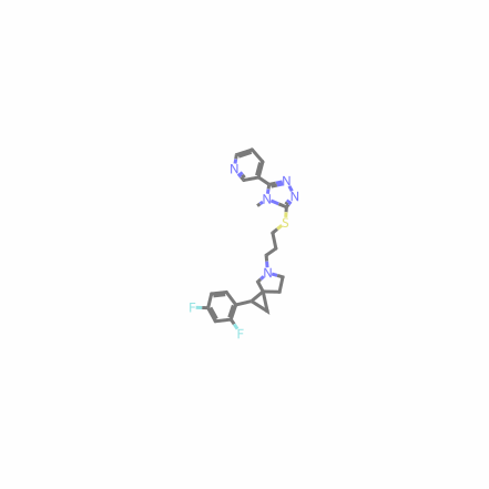 Cn1c(SCCCN2CCC3(CC3c3ccc(F)cc3F)C2)nnc1-c1cccnc1